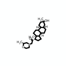 C[C@H]1CN(CC(=O)[C@H]2CCC3[C@@H]4CC[C@@H]5C[C@](C)(O)CC[C@@H]5C4CC[C@@]32C)CCO1